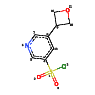 O=S(=O)(Cl)c1cncc(C2COC2)c1